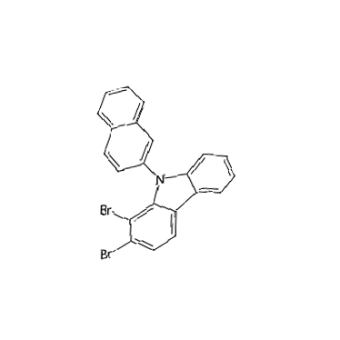 Brc1ccc2c3ccccc3n(-c3ccc4ccccc4c3)c2c1Br